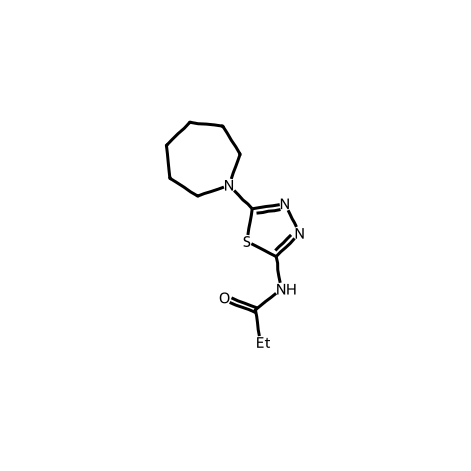 CCC(=O)Nc1nnc(N2CCCCCC2)s1